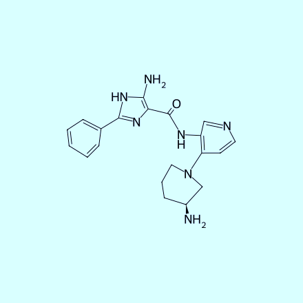 Nc1[nH]c(-c2ccccc2)nc1C(=O)Nc1cnccc1N1CCC[C@H](N)C1